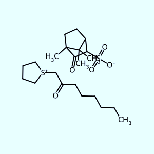 CC12CCC(C(S(=O)(=O)[O-])C1=O)C2(C)C.CCCCCCC(=O)C[S+]1CCCC1